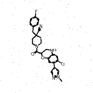 Cn1cc(-c2cc3c(cc2Cl)NCC(C(=O)N2CCC(C#N)(Cc4ccc(F)cc4)CC2)O3)cn1